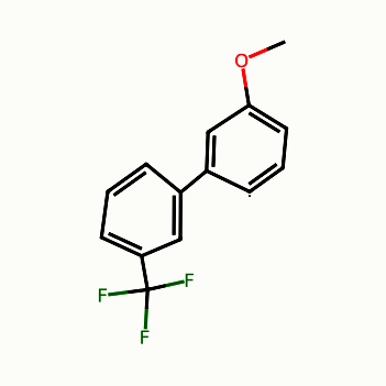 COc1cc[c]c(-c2cccc(C(F)(F)F)c2)c1